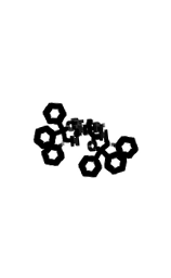 [CH2]=[Ni]([Br])([Br])([C]1=N[C@H](c2ccccc2)C(c2ccccc2)(c2ccccc2)O1)[C]1=N[C@H](c2ccccc2)C(c2ccccc2)(c2ccccc2)O1